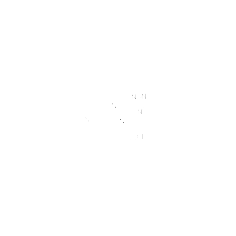 Cc1nnc2c(NC3CCN(C)CC3)nc(C(=O)O)cn12